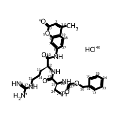 Cc1cc(=O)oc2cc(NC(=O)[C@H](CCCNC(=N)N)NC(=O)[C@H](CC(C)C)NC(=O)OCc3ccccc3)ccc12.Cl